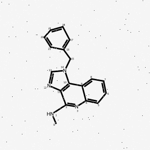 CNc1nc2ccccc2c2c1ncn2Cc1ccccc1